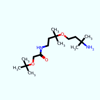 CC(C)(N)CCOC(C)(C)CCNC(=O)COC(C)(C)C